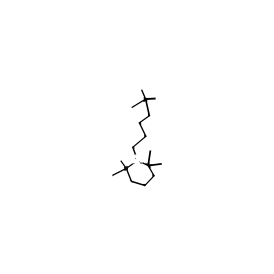 CC(C)(C)CCCCN1C(C)(C)CCCC1(C)C